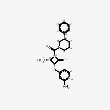 Nc1cc(C[C@H]2C(=O)N(C(=O)N3CCC[C@H](c4ccccc4)C3)[C@@H]2C(=O)O)ccn1